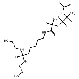 O=C(NCCCCCC(O)(POOO)POOO)C(F)(OC(F)(F)C(F)(OC(F)F)C(F)(F)F)C(F)(F)F